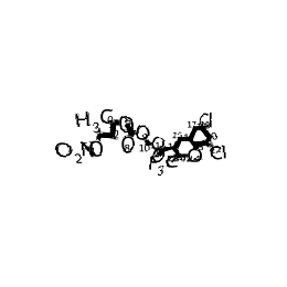 CC(CCO[N+](=O)[O-])OC(=O)OCOC(=O)C1=Cc2cc(Cl)cc(Cl)c2O[C@@H]1C(F)(F)F